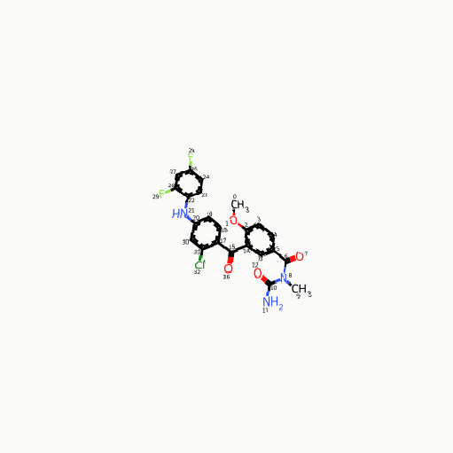 COc1ccc(C(=O)N(C)C(N)=O)cc1C(=O)c1ccc(Nc2ccc(F)cc2F)cc1Cl